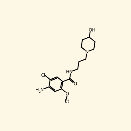 CCOc1cc(N)c(Cl)cc1C(=O)NCCCN1CCC(O)CC1